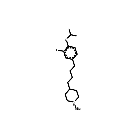 CCCC[SiH]1CCC(CCCCc2ccc(OC(F)F)c(F)c2)CC1